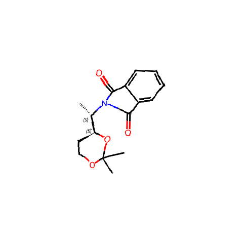 C[C@@H]([C@@H]1CCOC(C)(C)O1)N1C(=O)c2ccccc2C1=O